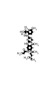 C=CC(=O)Nc1cc(Nc2ncnc(Nc3ccc(C)nc3C(C)(C)O)n2)c(OC)cc1N(C)CCN(C)C